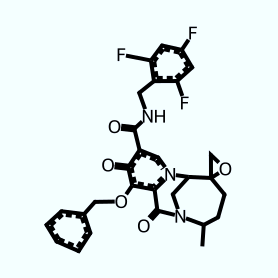 CC1CCC2(CO2)C2CN1C(=O)c1c(OCc3ccccc3)c(=O)c(C(=O)NCc3c(F)cc(F)cc3F)cn12